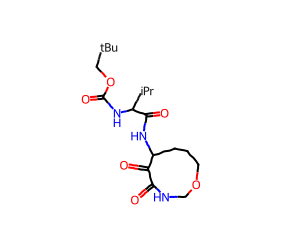 CC(C)C(NC(=O)OCC(C)(C)C)C(=O)NC1CCCOCNC(=O)C1=O